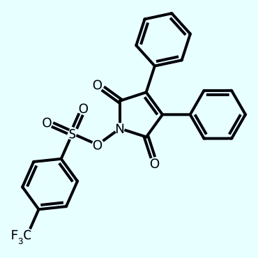 O=C1C(c2ccccc2)=C(c2ccccc2)C(=O)N1OS(=O)(=O)c1ccc(C(F)(F)F)cc1